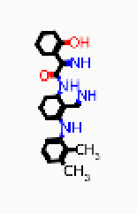 Cc1cccc(NC2=C(C=N)C(NC(=O)C(=N)C3=C(O)CCCC3)CCC2)c1C